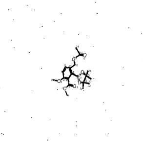 COC(=O)c1c(OC)ccc(COC(C)=O)c1B1OC(C)(C)C(C)(C)O1